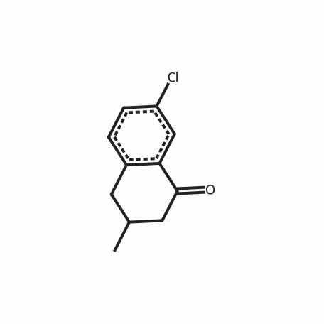 CC1CC(=O)c2cc(Cl)ccc2C1